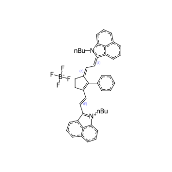 CCCCn1/c(=C\C=C2\CCC(/C=C/C3=[N+](CCCC)c4cccc5cccc3c45)=C2c2ccccc2)c2cccc3cccc1c32.F[B-](F)(F)F